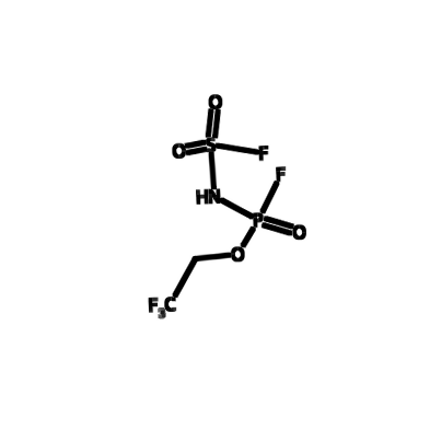 O=P(F)(NS(=O)(=O)F)OCC(F)(F)F